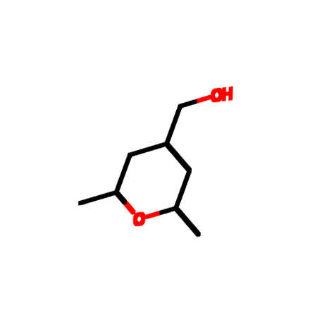 CC1CC(CO)CC(C)O1